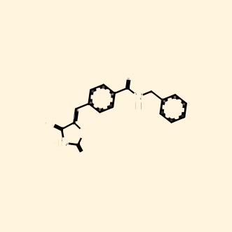 O=C1NC(=O)/C(=C/c2ccc(C(=O)NCc3ccccc3)cc2)S1